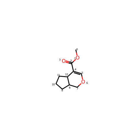 COC(=O)C1=COCC2CCCC12